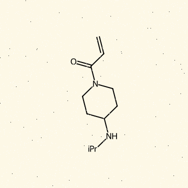 C=CC(=O)N1CCC(NC(C)C)CC1